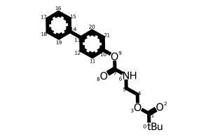 CC(C)(C)C(=O)OCCNC(=O)Oc1ccc(-c2ccccc2)cc1